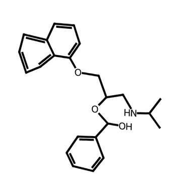 CC(C)NCC(COc1cccc2ccccc12)OC(O)c1ccccc1